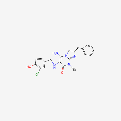 CCN1C(=O)C(NCc2ccc(O)c(Cl)c2)=C(N)N2C[C@@H](Cc3ccccc3)N=C12